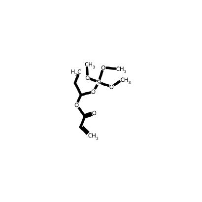 C=CC(=O)OC(CC)O[Si](OC)(OC)OC